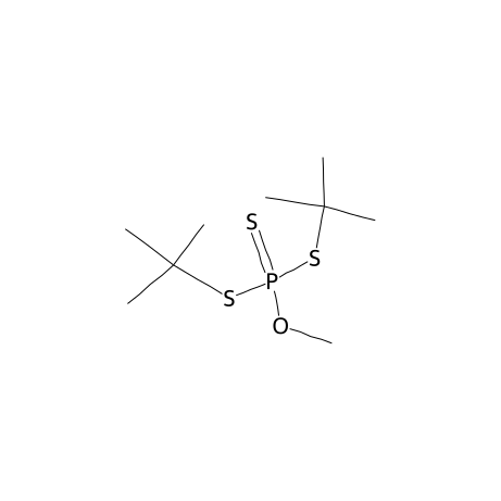 COP(=S)(SC(C)(C)C)SC(C)(C)C